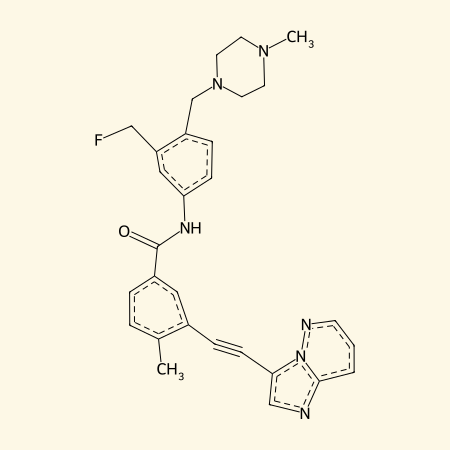 Cc1ccc(C(=O)Nc2ccc(CN3CCN(C)CC3)c(CF)c2)cc1C#Cc1cnc2cccnn12